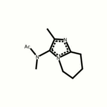 CC(=O)N(C)c1c(C)nc2n1CCCC2